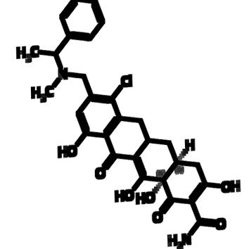 CC(c1ccccc1)N(C)Cc1cc(O)c2c(c1Cl)CC1C[C@H]3CC(O)=C(C(N)=O)C(=O)[C@@]3(O)C(O)=C1C2=O